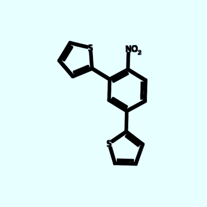 O=[N+]([O-])c1ccc(-c2cccs2)cc1-c1cccs1